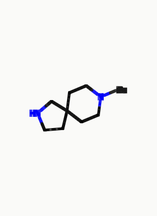 CCC(C)N1CCC2(CCNC2)CC1